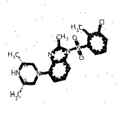 Cc1c(Cl)cccc1S(=O)(=O)n1c(C)nc2c(N3C[C@@H](C)N[C@@H](C)C3)cccc21